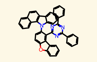 c1ccc(-c2nc(-c3ccccc3)nc(-c3c(-n4c5ccccc5c5ccc6ccccc6c54)ccc4oc5ccccc5c34)n2)cc1